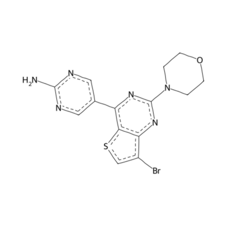 Nc1ncc(-c2nc(N3CCOCC3)nc3c(Br)csc23)cn1